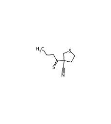 CCCC(=S)C1(C#N)CCSC1